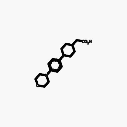 O=C(O)CC1CCC(c2ccc(N3CCOCC3)cc2)CC1